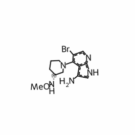 CON[C@@H]1CCCN(c2c(Br)cnc3[nH]cc(N)c23)C1